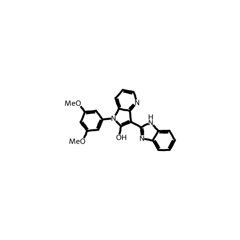 COc1cc(OC)cc(-n2c(O)c(-c3nc4ccccc4[nH]3)c3ncccc32)c1